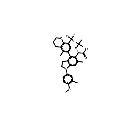 COc1ccc(N2CCc3c2cc(C)c([C@H](OC(C)(C)C)C(=O)O)c3-c2cc(C(F)(F)F)c3c(c2C)CCCO3)cc1C